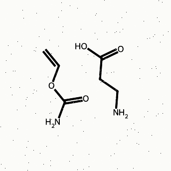 C=COC(N)=O.NCCC(=O)O